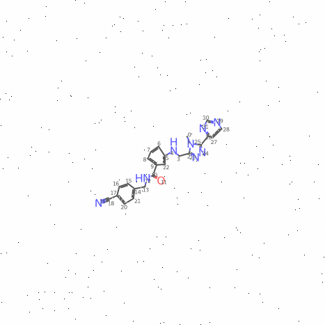 Cn1c(CNc2cccc(C(=O)NCc3ccc(C#N)cc3)c2)nnc1-c1ccncn1